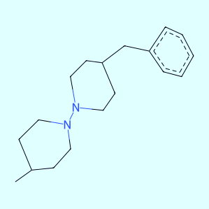 CC1CCN(N2CCC(Cc3ccccc3)CC2)CC1